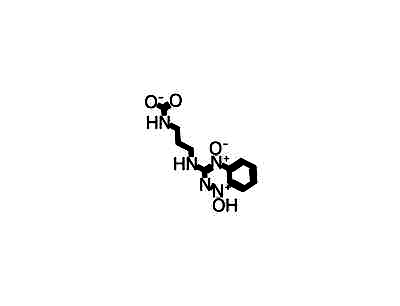 O=C([O-])NCCCNc1n[n+](O)c2ccccc2[n+]1[O-]